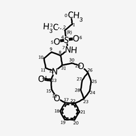 CC[C@@H](C)S(=O)(=O)NC1CCCN2C(=O)COc3ccccc3C3CCC(CC3)OCC12